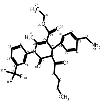 CCCCC(=O)C1C(=O)N(c2cccc(C(F)(F)F)c2)C(C)=C(C(=O)OCC)C1c1ccc(CN)cc1